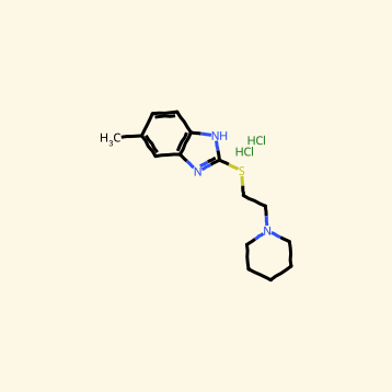 Cc1ccc2[nH]c(SCCN3CCCCC3)nc2c1.Cl.Cl